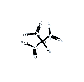 [Li][C]([N+](=O)[O-])([N+](=O)[O-])[N+](=O)[O-]